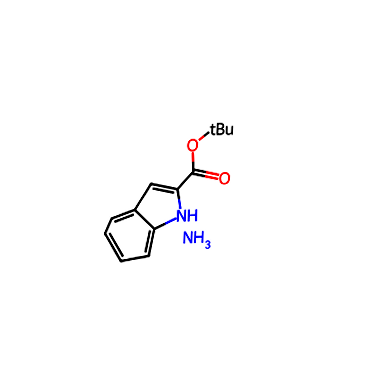 CC(C)(C)OC(=O)c1cc2ccccc2[nH]1.N